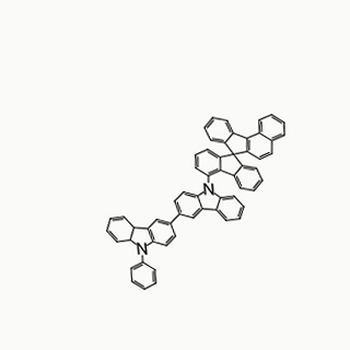 C1=CC2c3cc(-c4ccc5c(c4)c4ccccc4n5-c4cccc5c4-c4ccccc4C54c5ccccc5-c5c4ccc4ccccc54)ccc3N(c3ccccc3)C2C=C1